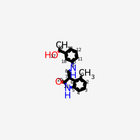 Cc1cccc2c1/C(=C\Nc1cccc(C(C)O)c1)C(=O)N2